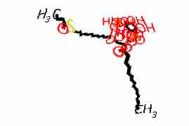 CCCCCCCCCCCCCCCC(=O)O[C@@H](COP(=O)(O)OC1C(O)[C@H](OP(=O)(O)O)C(O)[C@H](O)[C@@H]1O)CC(=O)OCCCCCCCCCCCCSC(=O)CCC